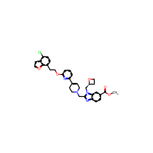 COC(=O)c1ccc2nc(CN3CC=C(c4cccc(OCCc5ccc(Cl)c6ccoc56)n4)CC3)n(C[C@@H]3CCO3)c2c1